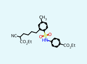 CCOC(=O)c1ccc(NS(=O)(=O)c2ccc(C)cc2CCCCC(C#N)C(=O)OCC)cc1